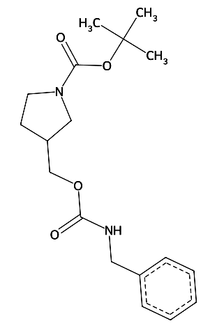 CC(C)(C)OC(=O)N1CCC(COC(=O)NCc2ccccc2)C1